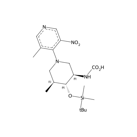 Cc1cncc([N+](=O)[O-])c1N1C[C@H](C)[C@@H](O[Si](C)(C)C(C)(C)C)[C@H](NC(=O)O)C1